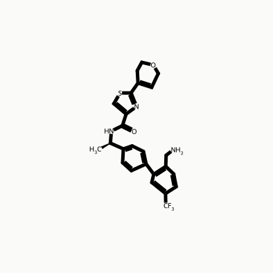 C[C@@H](NC(=O)c1csc(C2=CCOCC2)n1)c1ccc(-c2cc(C(F)(F)F)ccc2CN)cc1